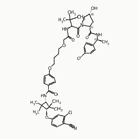 C[C@H](NC(=O)[C@@H]1C[C@@H](O)CN1C(=O)C(NC(=O)COCCCCOc1ccc(C(=O)N[C@H]2C(C)(C)[C@H](Oc3ccc(C#N)c(Cl)c3)C2(C)C)cc1)C(C)(C)C)c1ccc(Cl)cc1